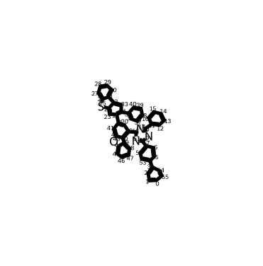 c1ccc(-c2ccc(-c3nc(-c4ccccc4)nc(-c4cc(-c5cc6sc7ccccc7c6cc5-c5ccccc5)cc5oc6ccccc6c45)n3)cc2)cc1